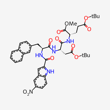 COC(=O)[C@H](CCC(=O)OC(C)(C)C)NC(=O)[C@H](CC(=O)OC(C)(C)C)NC(=O)[C@H](Cc1ccc2ccccc2c1)NC(=O)c1cc2cc([N+](=O)[O-])ccc2[nH]1